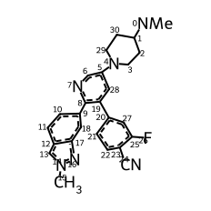 CNC1CCN(c2cnc(-c3ccc4cn(C)nc4c3)c(-c3ccc(C#N)c(F)c3)c2)CC1